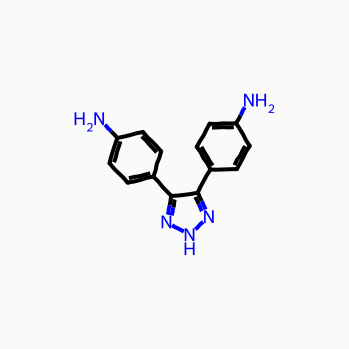 Nc1ccc(-c2n[nH]nc2-c2ccc(N)cc2)cc1